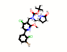 COc1nc(-c2cccc(Br)c2Cl)cc(Cl)c1CN(C[C@@H]1CCC(=O)N1)C(=O)OC(C)(C)C